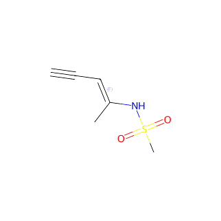 C#C/C=C(\C)NS(C)(=O)=O